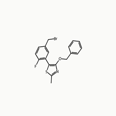 Cc1nc(OCc2ccccc2)c(-c2cc(CBr)ccc2F)s1